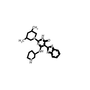 CC1CC(C)CN(c2nc(NC3CCCNC3)c(-c3nc4ccccc4s3)c(=O)[nH]2)C1